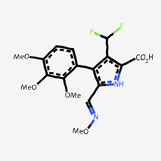 CO/N=C/c1[nH]c(C(=O)O)c(C(F)F)c1-c1ccc(OC)c(OC)c1OC